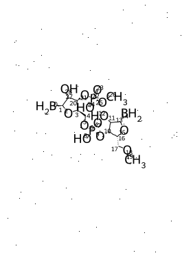 B[C@@H]1O[C@H](COP(=O)(O)O[C@@H]2C(O)[C@H](B)O[C@@H]2COC)[C@H](OP(=O)(O)OC)C1O